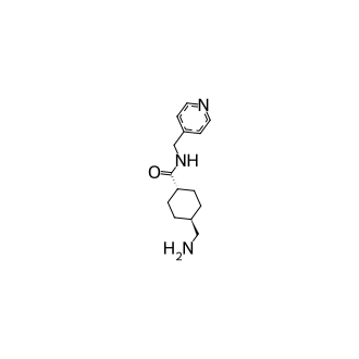 NC[C@H]1CC[C@H](C(=O)NCc2ccncc2)CC1